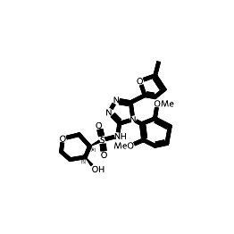 COc1cccc(OC)c1-n1c(NS(=O)(=O)[C@@H]2COCC[C@@H]2O)nnc1-c1ccc(C)o1